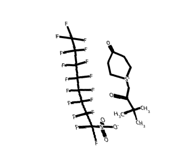 CC(C)(C)C(=O)C[S+]1CCC(=O)CC1.O=S(=O)([O-])C(F)(F)C(F)(F)C(F)(F)C(F)(F)C(F)(F)C(F)(F)C(F)(F)C(F)(F)F